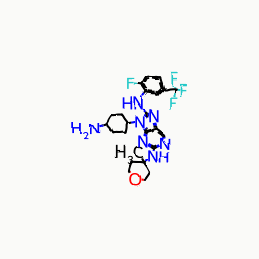 CC1(Nc2ncc3nc(Nc4cc(C(F)(F)F)ccc4F)n(C4CCC(N)CC4)c3n2)CCOCC1